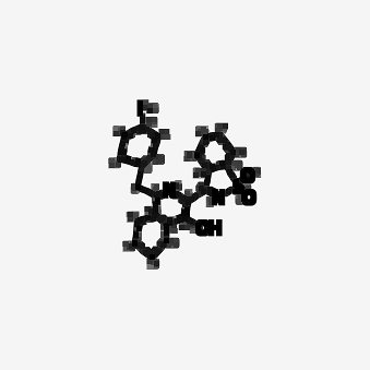 O=S1(=O)N=C(c2nc(Cc3ccc(F)cc3)c3ccccc3c2O)c2ccccc21